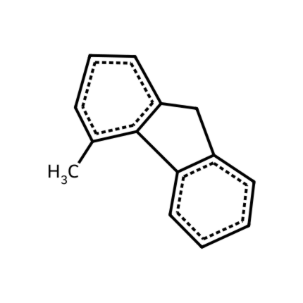 Cc1cccc2c1-c1ccccc1C2